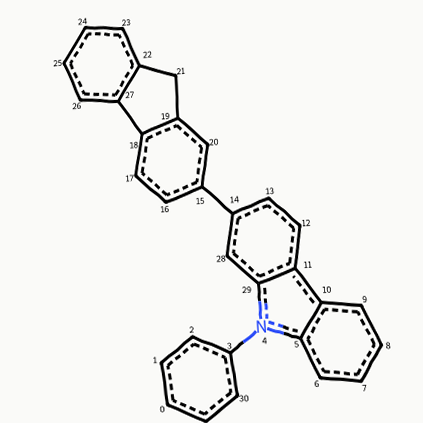 c1ccc(-n2c3ccccc3c3ccc(-c4ccc5c(c4)Cc4ccccc4-5)cc32)cc1